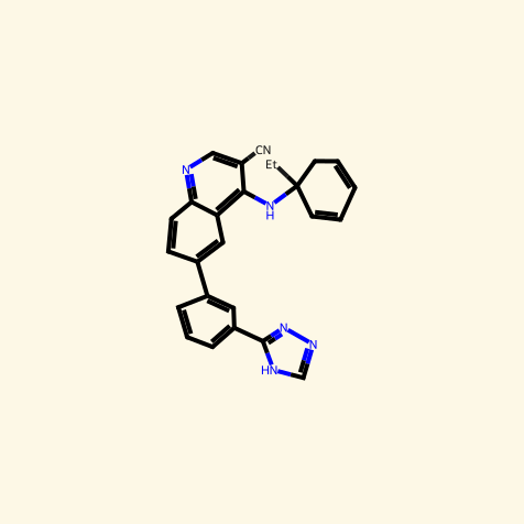 CCC1(Nc2c(C#N)cnc3ccc(-c4cccc(-c5nnc[nH]5)c4)cc23)C=CC=CC1